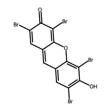 O=c1c(Br)cc2cc3cc(Br)c(O)c(Br)c3oc-2c1Br